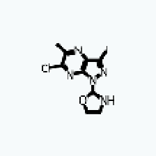 Cc1nc2c(I)nn(C3NCCO3)c2nc1Cl